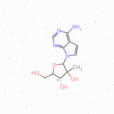 CC1(O)C(n2ccc3c(N)ncnc32)OC(CO)[C@H]1O